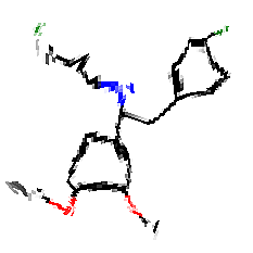 CCCNC(Cc1ccc(F)cc1)c1ccc(OC)c(OC)c1.Cl